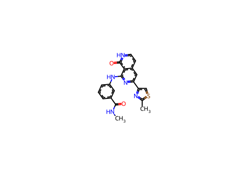 CNC(=O)c1cccc(Nc2nc(-c3csc(C)n3)cc3cc[nH]c(=O)c23)c1